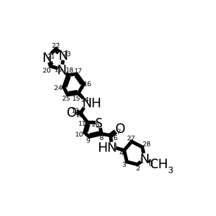 CN1CCC(NC(=O)c2ccc(C(=O)Nc3ccc(-n4cncn4)cc3)s2)CC1